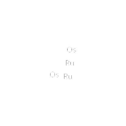 [Os].[Os].[Ru].[Ru]